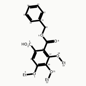 CCOc1cc(C(=O)O)c(C(=O)OCc2ccccc2)c(OCC)c1OCC